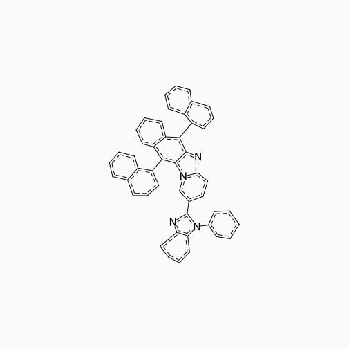 c1ccc(-n2c(-c3ccc4nc5c(-c6cccc7ccccc67)c6ccccc6c(-c6cccc7ccccc67)c5n4c3)nc3ccccc32)cc1